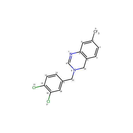 FC(F)(F)c1ccc2c(c1)N=CN(Cc1ccc(Cl)c(Cl)c1)C2